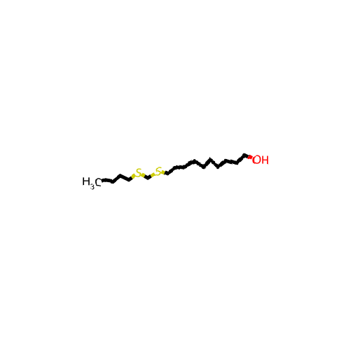 CCCCCSCSCCCCCCCCCCO